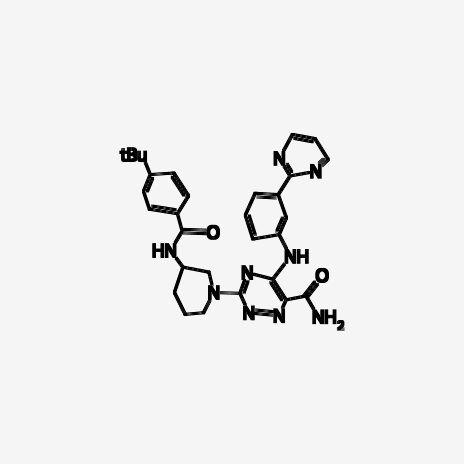 CC(C)(C)c1ccc(C(=O)NC2CCCN(c3nnc(C(N)=O)c(Nc4cccc(-c5ncccn5)c4)n3)C2)cc1